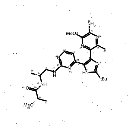 COc1nc(-c2nc(C(C)(C)C)[nH]c2-c2ccnc(NC[C@H](C)NC(=O)[C@H](C)OC)n2)c(C)nc1N